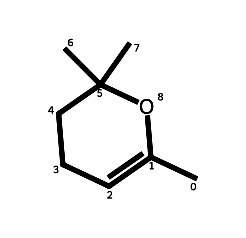 CC1=CCCC(C)(C)O1